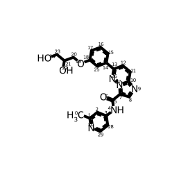 Cc1cc(NC(=O)c2cnc3ccc(-c4cccc(OCC(O)CO)c4)nn23)ccn1